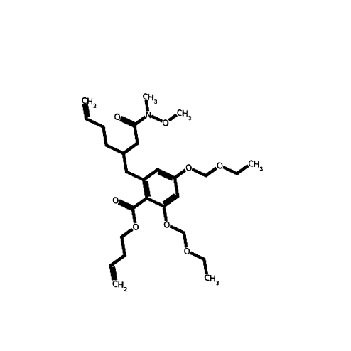 C=CCCOC(=O)c1c(CC(CCC=C)CC(=O)N(C)OC)cc(OCOCC)cc1OCOCC